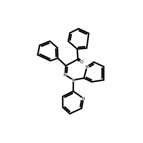 O=C(C(=NN(c1ccccn1)c1ccccn1)c1ccccc1)c1ccccc1